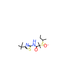 CCC(C)[S+]([O-])C(C)(C)C(=O)Nc1nc(C(C)(C)C)cs1